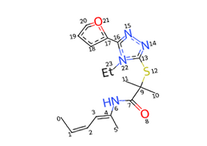 C/C=C\C=C(/C)NC(=O)C(C)(C)Sc1nnc(-c2ccco2)n1CC